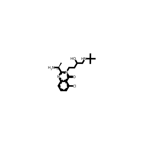 C[C@H](N)c1nc2cccc(Cl)c2c(=O)n1CCC(O)CNC(C)(C)C